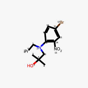 CC(C)CN(CC(C)(C)O)c1ccc(Br)cc1[N+](=O)[O-]